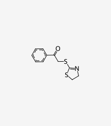 O=C(CSC1=NCCS1)c1ccccc1